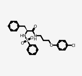 O=C(NCCCOc1ccc(Cl)cc1)[C@H](Cc1cc[c]cc1)NS(=O)(=O)c1ccccc1